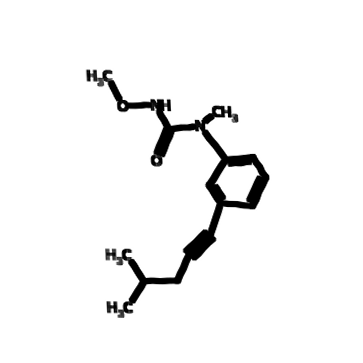 CONC(=O)N(C)c1cccc(C#CCC(C)C)c1